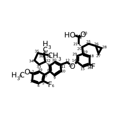 COc1ccc(F)c(-c2ccc(COc3cc(F)cc([C@H](CC(=O)O)CC4CC4)c3)cc2[C@@H]2CCCC2(C)C)c1